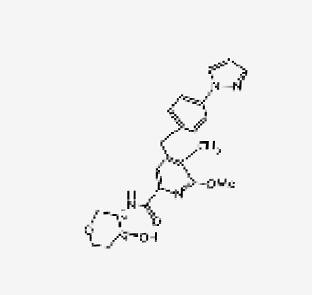 COc1nc(C(=O)N[C@H]2COCC[C@@H]2O)cc(Cc2ccc(-n3cccn3)cc2)c1C